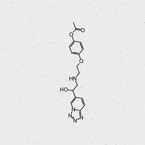 CC(=O)Oc1ccc(OCCNCC(O)c2ccc3nnnn3c2)cc1